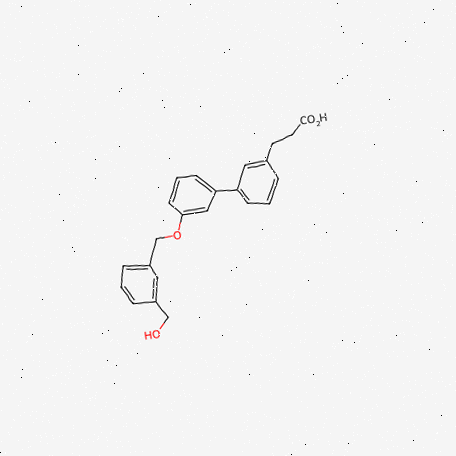 O=C(O)CCc1cccc(-c2cccc(OCc3cccc(CO)c3)c2)c1